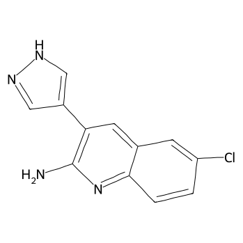 Nc1nc2ccc(Cl)cc2cc1-c1cn[nH]c1